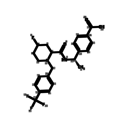 C[C@H](NC(=O)C1CC(F)CCN1Cc1ccc(C(F)(F)F)cc1)c1ccc(C(=O)O)cc1